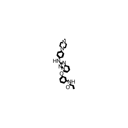 C=CC(=O)Nc1cccc(Oc2cccc3nc(Nc4ccc(N5CCN(C)CC5)cc4)nn23)c1